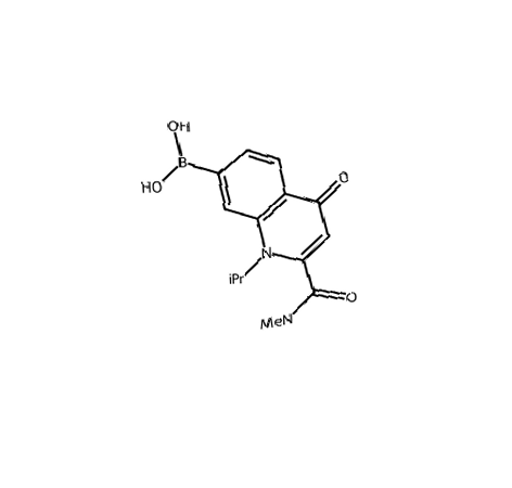 CNC(=O)c1cc(=O)c2ccc(B(O)O)cc2n1C(C)C